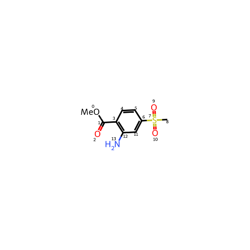 COC(=O)c1ccc(S(C)(=O)=O)cc1N